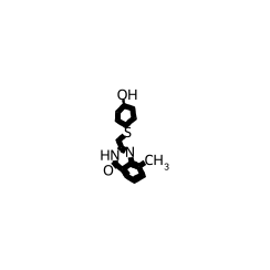 Cc1cccc2c(=O)[nH]c(CS[C@H]3CC[C@H](O)CC3)nc12